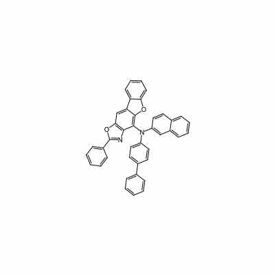 c1ccc(-c2ccc(N(c3ccc4ccccc4c3)c3c4nc(-c5ccccc5)oc4cc4c3oc3ccccc34)cc2)cc1